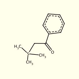 CS(C)(C)CC(=O)c1ccccc1